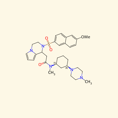 COc1ccc2cc(S(=O)(=O)N3CCn4cccc4C3CC(=O)N(C)[C@H]3CCC[C@@H](N4CCN(C)CC4)C3)ccc2c1